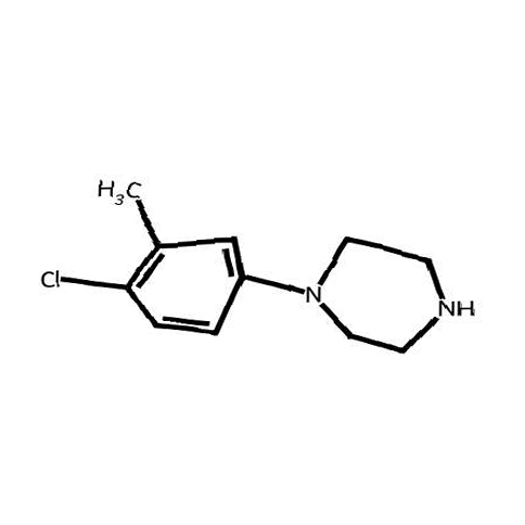 Cc1cc(N2CCNCC2)ccc1Cl